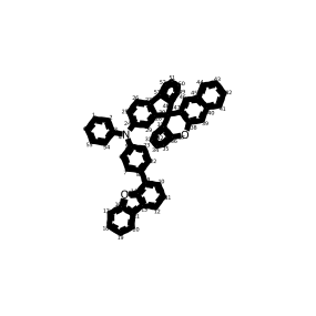 c1ccc(N(c2ccc(-c3cccc4c3oc3ccccc34)cc2)c2ccc3c(c2)C2(c4ccccc4Oc4cc5ccccc5cc42)c2ccccc2-3)cc1